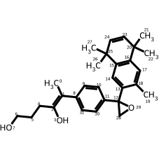 C/C(=C(/O)CCCO)c1ccc(C2(c3cc4c(cc3C)C(C)(C)C=CC4(C)C)CO2)cc1